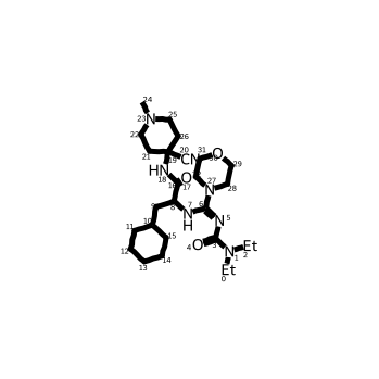 CCN(CC)C(=O)/N=C(\NC(CC1CCCCC1)C(=O)NC1(C#N)CCN(C)CC1)N1CCOCC1